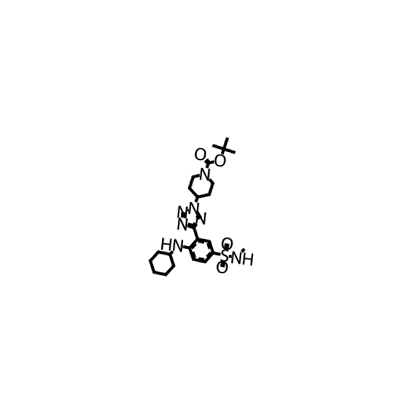 CNS(=O)(=O)c1ccc(NC2CCCCC2)c(-c2nnn(C3CCN(C(=O)OC(C)(C)C)CC3)n2)c1